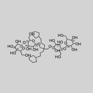 OCC[C@@H](O[C@H]1OC(CO)[C@@H](O)C(O)C1O)/C(O)=C(/O)[C@@H](O)OCC(CCCC1CCCCC1)(CCCC1CCCCC1)CO[C@@H]1OC(CO)[C@@H](O[C@@H]2OC(CO)[C@@H](O)[C@H](O)C2O)[C@H](O)C1O